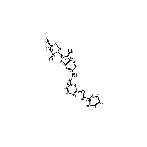 O=C1CCC(N2Cc3cc(NCc4cccc(OCc5ccccc5)c4)ccc3C2=O)C(=O)N1